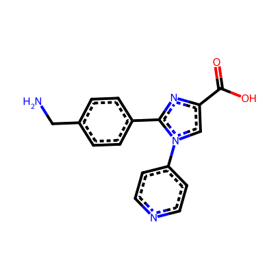 NCc1ccc(-c2nc(C(=O)O)cn2-c2ccncc2)cc1